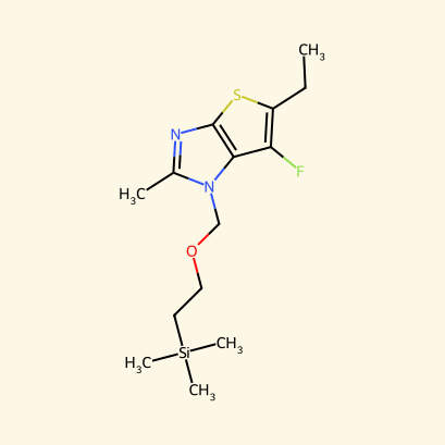 CCc1sc2nc(C)n(COCC[Si](C)(C)C)c2c1F